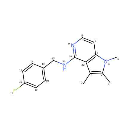 Cc1c(C)n(C)c2ccnc(NCc3ccc(F)cc3)c12